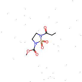 CCC(=O)N1CCN(C(=O)OC)S1(=O)=O